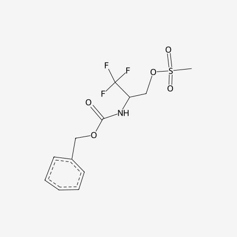 CS(=O)(=O)OCC(NC(=O)OCc1ccccc1)C(F)(F)F